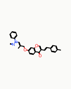 C=NN(/C=C(\C)COc1ccc2c(=O)c(/C=C/c3ccc(C)cc3)coc2c1)c1ccccc1